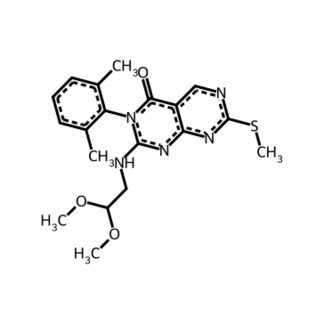 COC(CNc1nc2nc(SC)ncc2c(=O)n1-c1c(C)cccc1C)OC